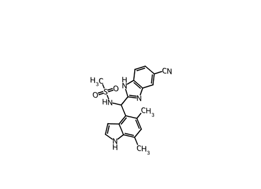 Cc1cc(C)c2[nH]ccc2c1C(NS(C)(=O)=O)c1nc2cc(C#N)ccc2[nH]1